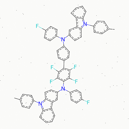 Cc1ccc(-n2c3ccccc3c3cc(N(c4ccc(F)cc4)c4ccc(-c5c(F)c(F)c(N(c6ccc(F)cc6)c6ccc7c(c6)c6ccccc6n7-c6ccc(C)cc6)c(F)c5F)cc4)ccc32)cc1